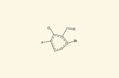 O=Cc1c(Br)ccc(F)c1Cl